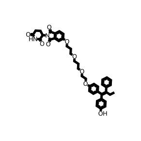 CCC(=C(c1ccc(O)cc1)c1ccc(OCCOCCCOCCCOc2ccc3c(c2)C(=O)N(C2CCC(=O)NC2=O)C3=O)cc1)c1ccccc1